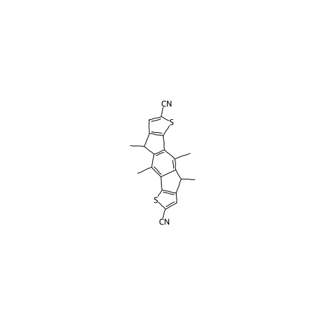 Cc1c2c(c(C)c3c1C(C)c1cc(C#N)sc1-3)C(C)c1cc(C#N)sc1-2